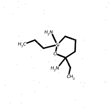 CCC[Si]1(N)CCCC(N)(CC)O1